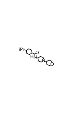 CC(C)C1CCC(C(=O)NC2CCN(C3CCOCC3)CC2)CC1